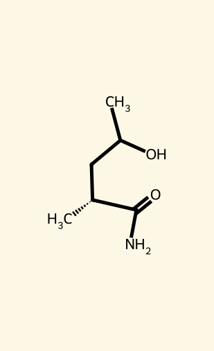 CC(O)C[C@@H](C)C(N)=O